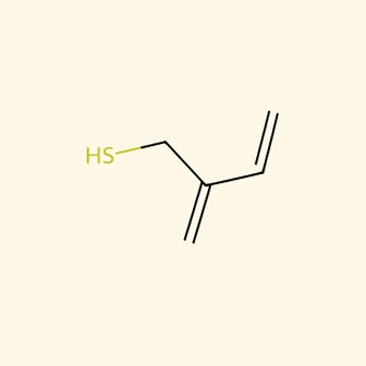 C=CC(=C)CS